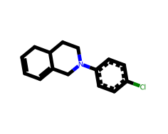 Clc1ccc(N2CCC3CC=CC=C3C2)cc1